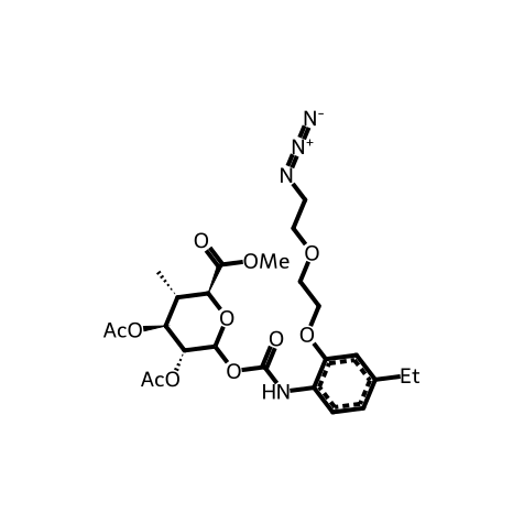 CCc1ccc(NC(=O)OC2O[C@H](C(=O)OC)[C@@H](C)[C@H](OC(C)=O)[C@H]2OC(C)=O)c(OCCOCCN=[N+]=[N-])c1